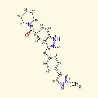 Cn1cc(-c2ccc(Cc3n[nH]c4ccc(C(=O)N5CCCCC5)cc34)cc2)cn1